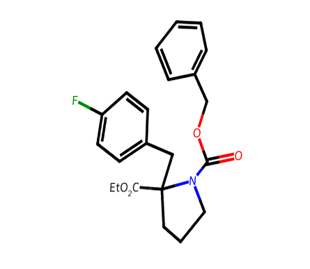 CCOC(=O)C1(Cc2ccc(F)cc2)CCCN1C(=O)OCc1ccccc1